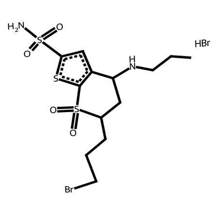 Br.CCCNC1CC(CCCBr)S(=O)(=O)c2sc(S(N)(=O)=O)cc21